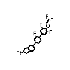 CCC1Cc2ccc(-c3ccc(-c4cc(F)c(OC=C(F)F)c(F)c4)c(F)c3)cc2C1